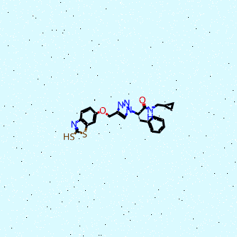 O=C(NCC1CC1)[C@H](Cc1ccccc1)n1cc(COc2ccc3nc(S)sc3c2)nn1